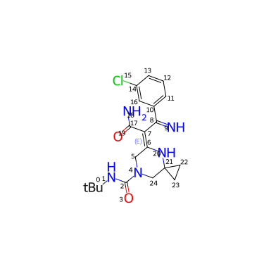 CC(C)(C)NC(=O)N1C/C(=C(/C(=N)c2cccc(Cl)c2)C(N)=O)NC2(CC2)C1